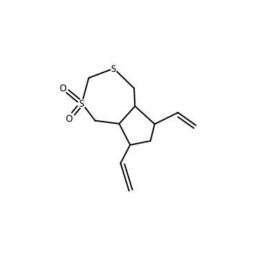 C=CC1CC(C=C)C2CS(=O)(=O)CSCC12